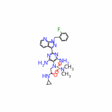 CN(C)S(=O)(=O)N(CC(=O)NC1CC1)c1c(N)nc(-c2nn(Cc3ccccc3F)c3ncccc23)nc1N